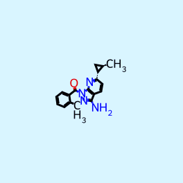 Cc1ccccc1C(=O)n1nc(N)c2ccc([C@@H]3C[C@H]3C)nc21